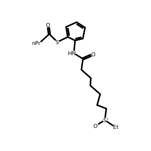 CCCC(=O)Sc1ccccc1NC(=O)CCCCCC[S+]([O-])CC